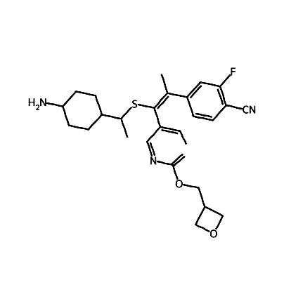 C=C(\N=C/C(=C\C)C(/SC(C)C1CCC(N)CC1)=C(/C)c1ccc(C#N)c(F)c1)OCC1COC1